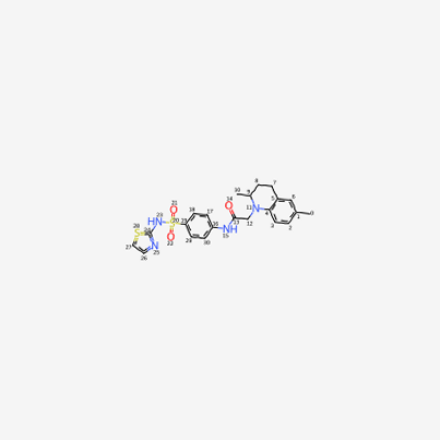 Cc1ccc2c(c1)CCC(C)N2CC(=O)Nc1ccc(S(=O)(=O)Nc2nccs2)cc1